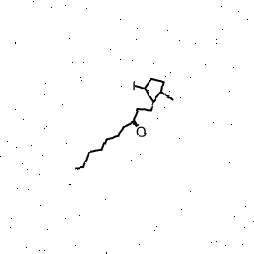 CCCCCCCC(=O)CC[C@@H]1C(C)CCC1I